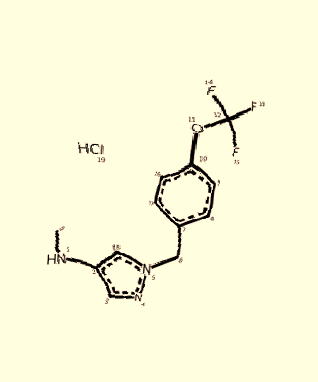 CNc1cnn(Cc2ccc(OC(F)(F)F)cc2)c1.Cl